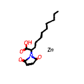 CCCCCCCCCC(C(=O)O)N1C(=O)C=CC1=O.[Zn]